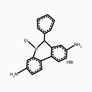 Br.CCN1c2cc(N)ccc2-c2ccc(N)cc2C1c1ccccc1